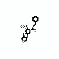 O=C(O)C1CC2(CN1C(=O)OCc1ccccc1)OC1COCC1O2